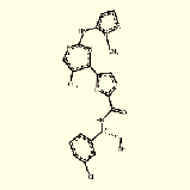 Cc1cnc(Nc2ccnn2C)nc1-c1coc(C(=O)N[C@H](CO)c2cccc(Cl)c2)n1